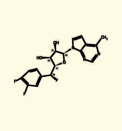 Cc1ncnc2c1ccn2[C@@H]1O[C@H]([C@@H](F)c2ccc(F)c(F)c2)[C@@H](O)[C@H]1O